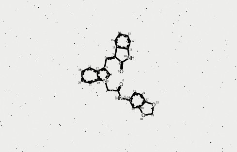 O=C(Cn1cc(C=C2C(=O)Nc3ccccc32)c2ccccc21)Nc1ccc2c(c1)OCO2